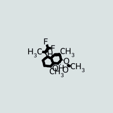 CC(=O)O[C@@H]1[C][C@@]2(O)[C@H](C)CC[C@@H](C(C)=C(F)F)[C@@H]2C=C1C